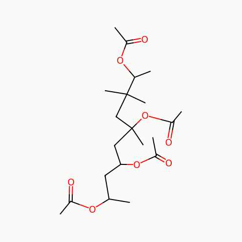 CC(=O)OC(C)CC(CC(C)(CC(C)(C)C(C)OC(C)=O)OC(C)=O)OC(C)=O